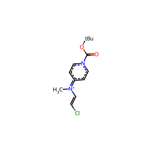 C[N+](C=CCl)=c1ccn(C(=O)OC(C)(C)C)cc1